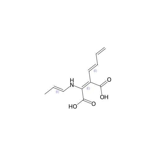 C=C/C=C/C(C(=O)O)=C(\N/C=C/C)C(=O)O